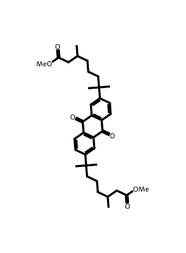 COC(=O)CC(C)CCCC(C)(C)c1ccc2c(c1)C(=O)c1ccc(C(C)(C)CCCC(C)CC(=O)OC)cc1C2=O